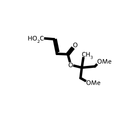 COCC(C)(COC)OC(=O)C=CC(=O)O